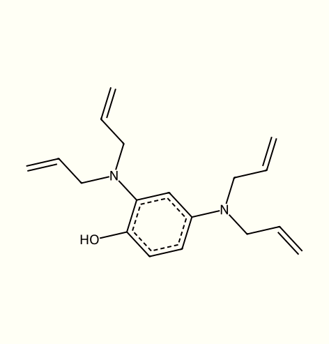 C=CCN(CC=C)c1ccc(O)c(N(CC=C)CC=C)c1